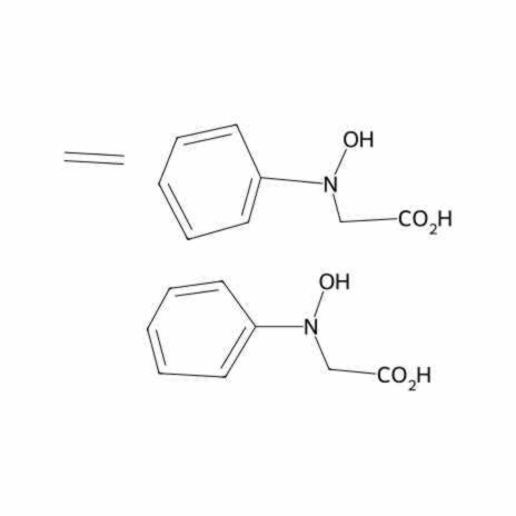 C=C.O=C(O)CN(O)c1ccccc1.O=C(O)CN(O)c1ccccc1